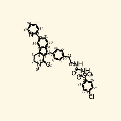 CN1CCc2c(n(-c3ccc(CCNC(=O)NS(=O)(=O)c4ccc(Cl)cc4)cc3)c3ccc(-c4ccccn4)cc23)C1=O